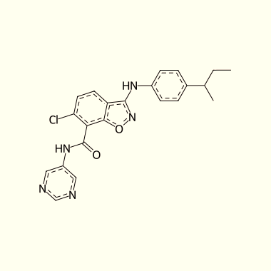 CCC(C)c1ccc(Nc2noc3c(C(=O)Nc4cncnc4)c(Cl)ccc23)cc1